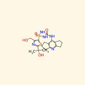 CC(C)(O)c1nc(CO)c([SH](N)(=O)NC(=O)Nc2c3c(nc4c2CCC4)CCC3)s1